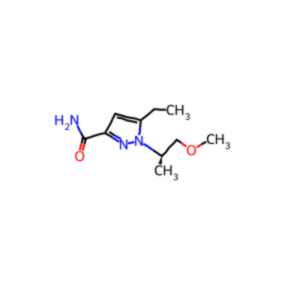 CCc1cc(C(N)=O)nn1[C@H](C)COC